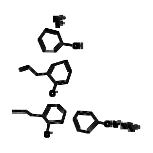 C=CCc1ccccc1[O-].C=CCc1ccccc1[O-].Oc1ccccc1.Oc1ccccc1.[Ni+2].[Ni+2].[Ni+2].[S-2].[S-2]